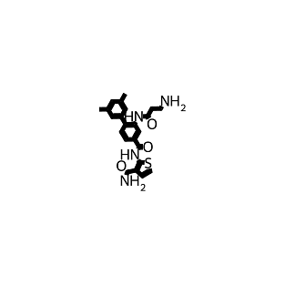 Cc1cc(C)cc(-c2ccc(C(=O)Nc3sccc3C(N)=O)cc2NC(=O)CCN)c1